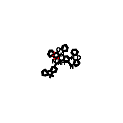 CC1(C)c2ccccc2-c2cc(C3N=C(c4ccccc4)N=C(c4cc(C#N)c(N5c6ccccc6Oc6ccccc65)cc4N4c5ccccc5Oc5ccccc54)N3)ccc21